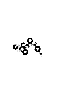 [C-]#[N+]c1ccc(C(=O)N[C@@H]2CCCC[C@@H]2C(=O)N2CC[C@@H]3[C@H](c4ccc[nH]4)Nc4ccccc4[C@@H]32)cc1